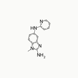 Cn1c(N)nc2cc(Nc3ccccn3)ccc21